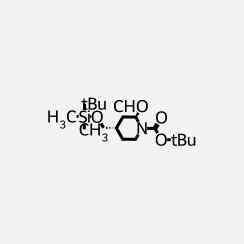 CC(C)(C)OC(=O)N1CC[C@H](CO[Si](C)(C)C(C)(C)C)C[C@H]1C=O